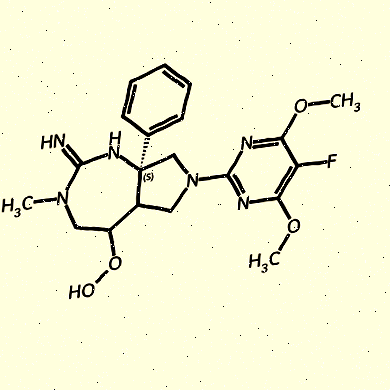 COc1nc(N2CC3C(OO)CN(C)C(=N)N[C@@]3(c3ccccc3)C2)nc(OC)c1F